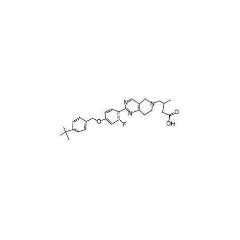 CC(CC(=O)O)CN1CCc2nc(-c3ccc(OCc4ccc(C(C)(C)C)cc4)cc3F)ncc2C1